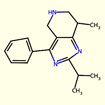 CC(C)c1nc(-c2ccccc2)c2c(n1)C(C)CNC2